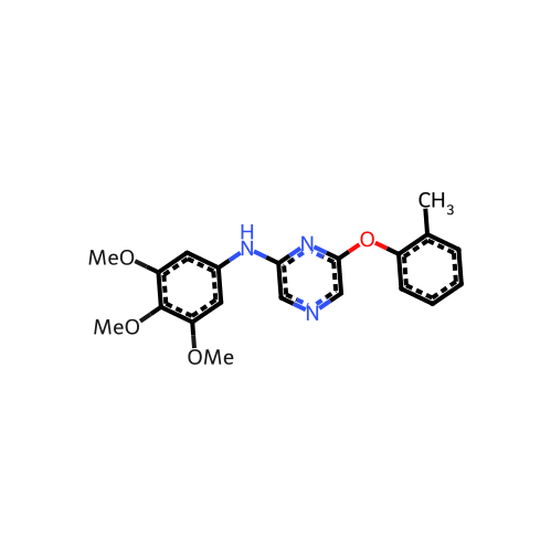 COc1cc(Nc2cncc(Oc3ccccc3C)n2)cc(OC)c1OC